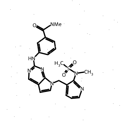 CNC(=O)c1cccc(Nc2ncc3ccn(Cc4cccnc4N(C)S(C)(=O)=O)c3n2)c1